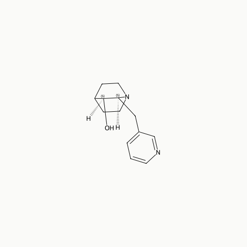 O[C@H]1C2CCN(CC2)[C@H]1Cc1cccnc1